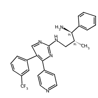 C[C@H](CNc1ncc(-c2cccc(C(F)(F)F)c2)c(-c2ccncc2)n1)[C@@H](N)c1ccccc1